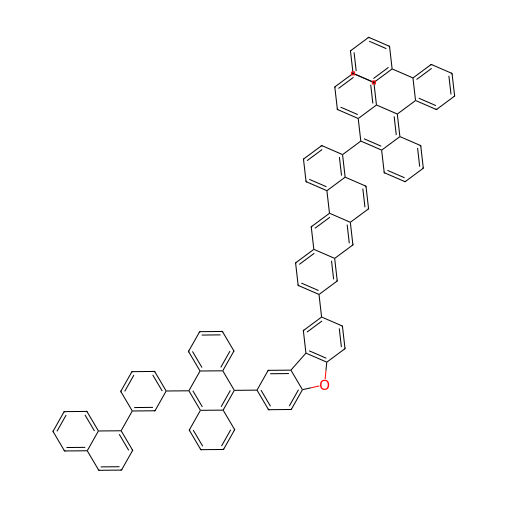 c1ccc(-c2ccccc2-c2c3ccccc3c(-c3cccc4c3ccc3cc5cc(-c6ccc7oc8ccc(-c9c%10ccccc%10c(-c%10cccc(-c%11cccc%12ccccc%11%12)c%10)c%10ccccc9%10)cc8c7c6)ccc5cc34)c3ccccc23)cc1